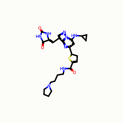 O=C1NC(=O)/C(=C/c2cnn3c(NC4CC4)cc(C4CC=C(C(=O)NCCCCN5CCCC5)S4)nc23)N1